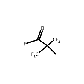 CC(C(=O)F)(C(F)(F)F)C(F)(F)F